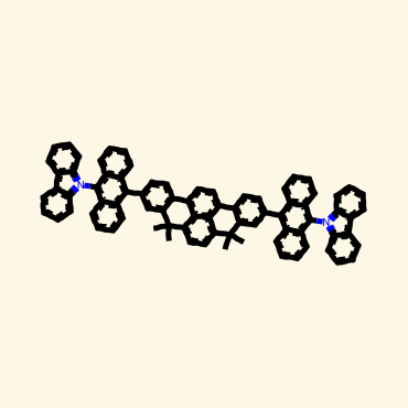 CC1(C)c2cc(-c3c4ccccc4c(-n4c5ccccc5c5ccccc54)c4ccccc34)ccc2-c2ccc3c4c(ccc1c24)C(C)(C)c1cc(-c2c4ccccc4c(-n4c5ccccc5c5ccccc54)c4ccccc24)ccc1-3